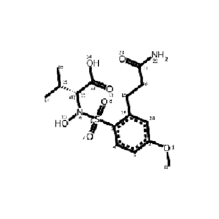 COc1ccc(S(=O)(=O)N(O)[C@@H](C(=O)O)C(C)C)c(CCC(N)=O)c1